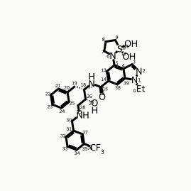 CCn1ncc2c(N3CCCS3(O)O)cc(C(=O)N[C@@H](Cc3ccccc3)[C@H](O)CNCc3cccc(C(F)(F)F)c3)cc21